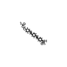 CCC(=O)OCOc1ccc(N=Nc2ccc(N=Nc3ccc(NC(C)=O)cc3)cc2)cc1